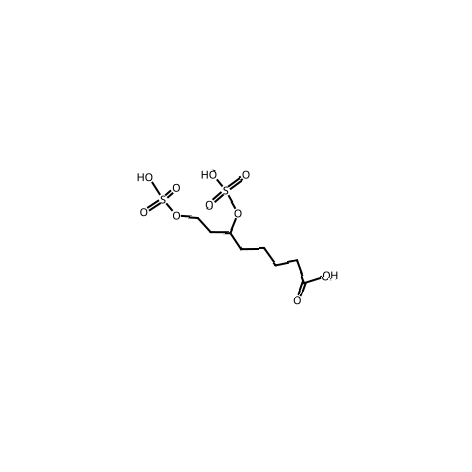 O=C(O)CCCCC(CCOS(=O)(=O)O)OS(=O)(=O)O